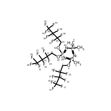 CP1(C)=NP(C)(OCC(F)(F)C(F)(F)C(F)(F)F)=NP(OCC(F)(F)C(F)(F)C(F)(F)F)(OCC(F)(F)C(F)(F)C(F)(F)F)=N1